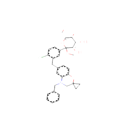 COC1(c2ccc(Cl)c(Cc3ccc4c(c3)N(Cc3ccccc3)CC3(CC3)O4)c2)O[C@H](CO)[C@@H](O)[C@H](O)[C@H]1O